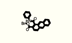 O=C(OBr)c1ccc2cc3ccccc3cc2c1C(=O)Nc1ccccc1